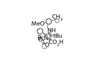 COc1ccc(C2(C)CCC2)cc1CN[C@H]1[C@H](C(C)(C)C)[C@@H](C(=O)O)N(C(=O)[C@@H]2CCCO2)[C@H]1c1ccccc1Br